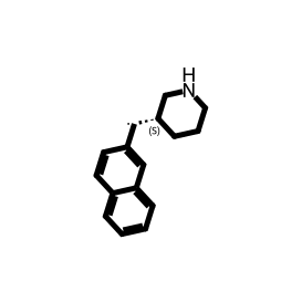 [CH](c1ccc2ccccc2c1)[C@H]1CCCNC1